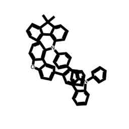 CC1(C)c2ccccc2-c2c(N(c3ccc(-c4ccccc4)cc3)c3cccc4oc5ccc(-c6ccc7c(c6)c6ccccc6n7-c6ccccc6)cc5c34)cccc21